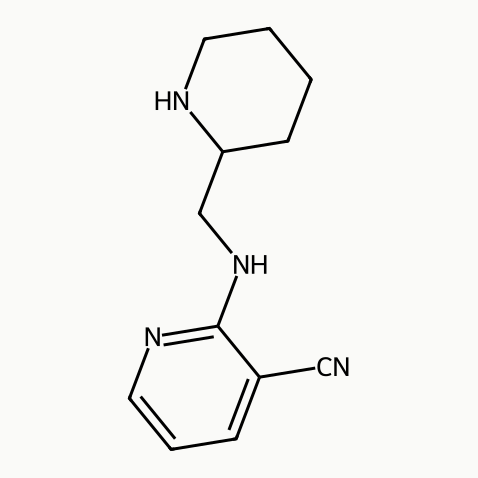 N#Cc1cccnc1NCC1CCCCN1